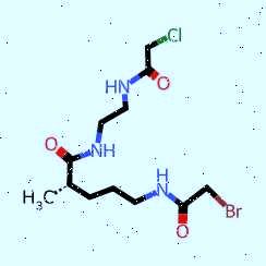 C[C@@H](CCCNC(=O)CBr)C(=O)NCCNC(=O)CCl